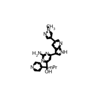 CCC[C@](O)(c1ccncc1)c1cc(-c2c[nH]c3ncc(-c4cnn(C)c4)cc23)nc(N)n1